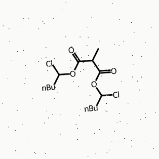 CCCCC(Cl)OC(=O)C(C)C(=O)OC(Cl)CCCC